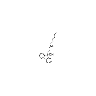 CCCCCCNCCCC1(O)c2ccccc2-c2ccccc21